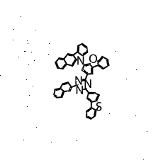 c1ccc2cc(-c3nc(-c4ccc5sc6ccccc6c5c4)nc(-c4cc(-n5c6ccccc6c6cc7ccccc7cc65)c5oc6ccccc6c5c4)n3)ccc2c1